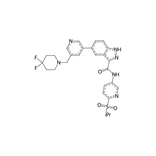 CC(C)S(=O)(=O)c1ccc(NC(=O)c2n[nH]c3ccc(-c4cncc(CN5CCC(F)(F)CC5)c4)cc23)cn1